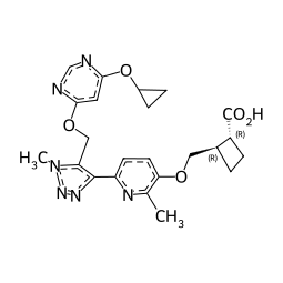 Cc1nc(-c2nnn(C)c2COc2cc(OC3CC3)ncn2)ccc1OC[C@@H]1CC[C@H]1C(=O)O